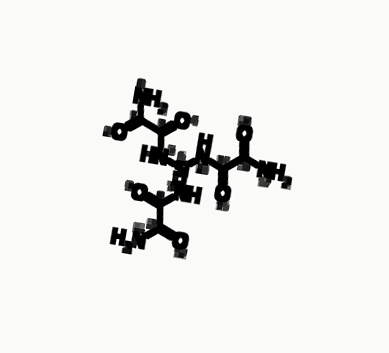 NC(=O)C(=O)N[SiH](NC(=O)C(N)=O)NC(=O)C(N)=O